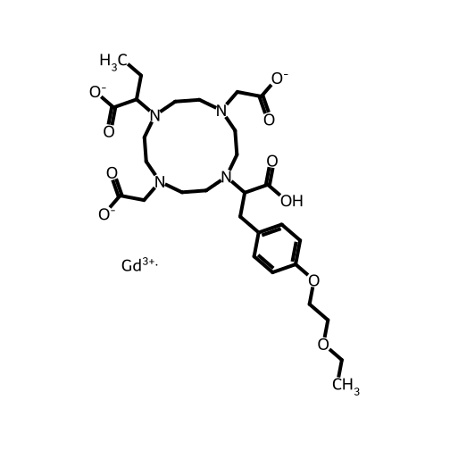 CCOCCOc1ccc(CC(C(=O)O)N2CCN(CC(=O)[O-])CCN(C(CC)C(=O)[O-])CCN(CC(=O)[O-])CC2)cc1.[Gd+3]